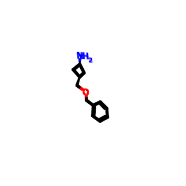 N[C@H]1C[C@@H](COCc2ccccc2)C1